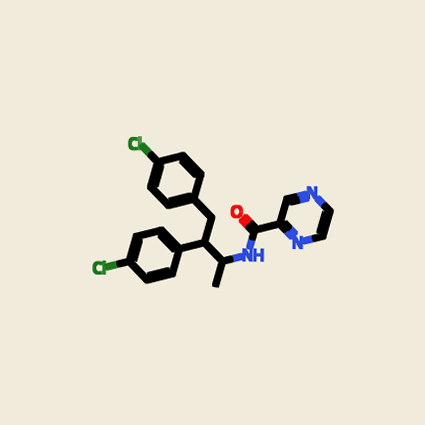 CC(NC(=O)c1cnccn1)C(Cc1ccc(Cl)cc1)c1ccc(Cl)cc1